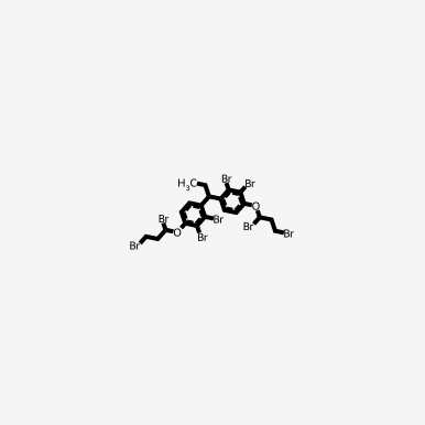 CCC(c1ccc(OC(Br)CCBr)c(Br)c1Br)c1ccc(OC(Br)CCBr)c(Br)c1Br